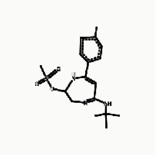 Cc1ccc(C2=CC(NC(C)(C)C)=NCC(OS(C)(=O)=O)N2)cc1